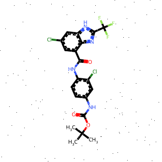 CC(C)(C)OC(=O)Nc1ccc(NC(=O)c2cc(Cl)cc3[nH]c(C(F)(F)F)nc23)c(Cl)c1